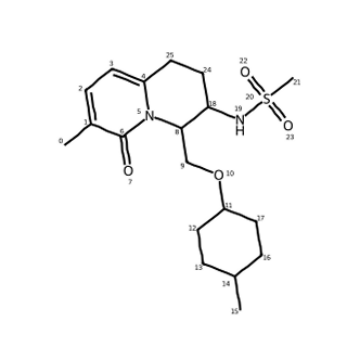 Cc1ccc2n(c1=O)C(COC1CCC(C)CC1)C(NS(C)(=O)=O)CC2